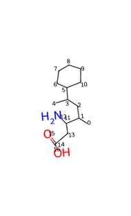 CC(CC(C)C1CCCCC1)C(N)CC(=O)O